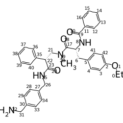 CCOc1ccc(C[C@@H](NC(=O)c2ccccc2)C(=O)N(C)C[C@H](C(=O)NCc2ccc(CN)cc2)c2ccccc2)cc1